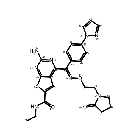 CCNC(=O)c1cc2c(C(=NOCCN3CCCC3=O)c3ccc(-n4cccn4)cc3)nc(N)nc2s1